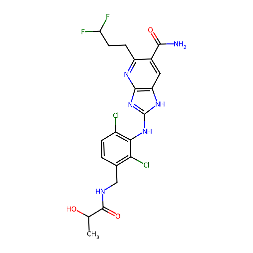 CC(O)C(=O)NCc1ccc(Cl)c(Nc2nc3nc(CCC(F)F)c(C(N)=O)cc3[nH]2)c1Cl